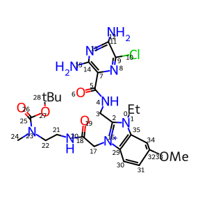 CCn1c(CNC(=O)c2nc(Cl)c(N)nc2N)[n+](CC(=O)NCCN(C)C(=O)OC(C)(C)C)c2ccc(OC)cc21